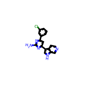 Nc1nc(-c2cccc(Cl)c2)cc(-c2c[nH]c3cnccc23)n1